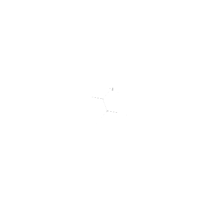 C[C](C)C(N)O